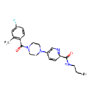 CC(C)CCNC(=O)c1ccc(N2CCN(C(=O)c3ccc(F)cc3C(F)(F)F)CC2)cn1